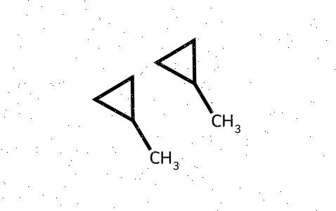 CC1CC1.CC1CC1